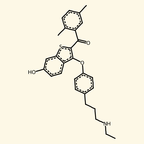 CCNCCCc1ccc(Oc2c(C(=O)c3cc(C)ccc3C)sc3cc(O)ccc23)cc1